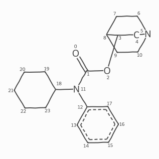 O=C(OC1CN2CCC1CC2)N(c1ccccc1)C1CCCCC1